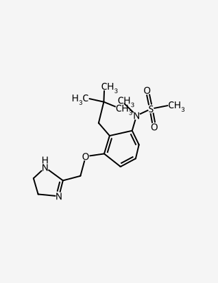 CN(c1cccc(OCC2=NCCN2)c1CC(C)(C)C)S(C)(=O)=O